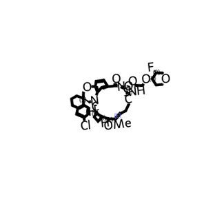 CO[C@H]1/C=C/CCC[S@@](=O)(NC(=O)CO[C@H]2CCOC[C@H]2F)=NC(=O)c2ccc3c(c2)N(C[C@@H]2CC[C@H]21)C[C@@]1(CCCc2cc(Cl)ccc21)CO3